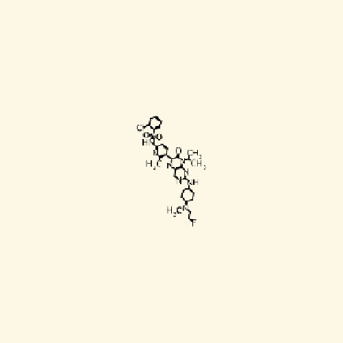 Cc1nc(NS(=O)(=O)c2ccccc2Cl)ccc1-c1nc2cnc(NC3CCC(N(C)CCF)CC3)nc2n(C(C)C)c1=O